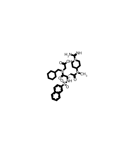 CN(C(=O)C[C@H](NS(=O)(=O)c1ccc2ccccc2c1)C(=O)N(CC(=O)O)CC1CCCCC1)C1CCN(C(=N)N)CC1